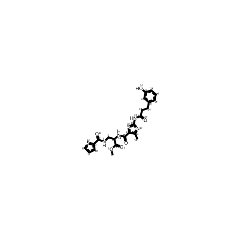 COC(=O)C(CNC(=O)c1cccs1)NC(=O)c1sc(NC(=O)CCc2cccc(O)c2)nc1C